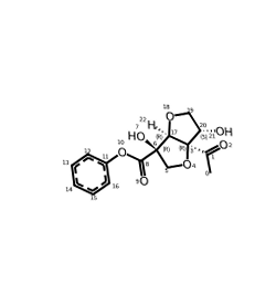 CC(=O)[C@]12OC[C@](O)(C(=O)Oc3ccccc3)[C@H]1OC[C@@H]2O